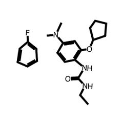 CCNC(=O)Nc1ccc(N(C)C)cc1OC1CCCC1.Fc1ccccc1